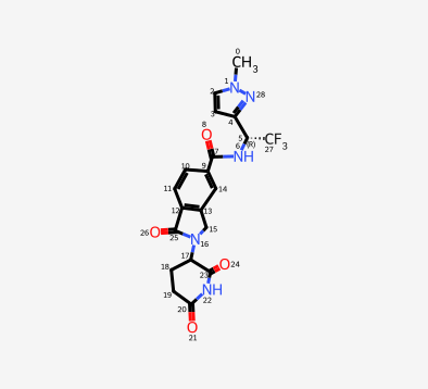 Cn1ccc([C@@H](NC(=O)c2ccc3c(c2)CN(C2CCC(=O)NC2=O)C3=O)C(F)(F)F)n1